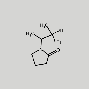 CC(N1CCCC1=O)C(C)(C)O